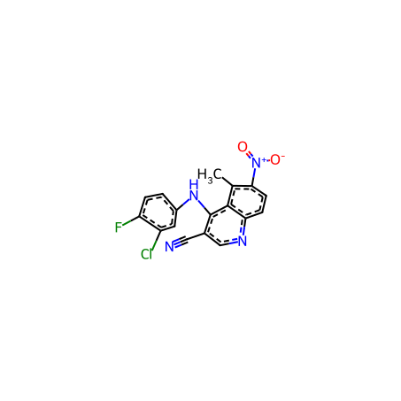 Cc1c([N+](=O)[O-])ccc2ncc(C#N)c(Nc3ccc(F)c(Cl)c3)c12